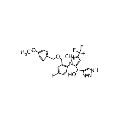 COc1ccc(CO[C@H](C)c2cc(F)ccc2-n2nc(C(F)(F)F)cc2C(O)c2c[nH]nn2)cc1